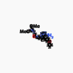 COCCN(C/C=C/C(=O)N1CC[C@@H](n2c(C#N)c(-c3ccc(Oc4ccccc4)cc3)c3c(N)ncnc32)C1)CCOC